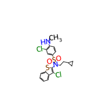 CNc1ccc(S(=O)(=O)N(CCC2CC2)c2sc3ccccc3c2Cl)cc1Cl